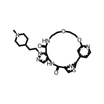 CN1CCC(CCn2ncc3c2C(=O)NCCOCCOc2cc(ccn2)-c2nc(cs2)C(=O)N3)CC1